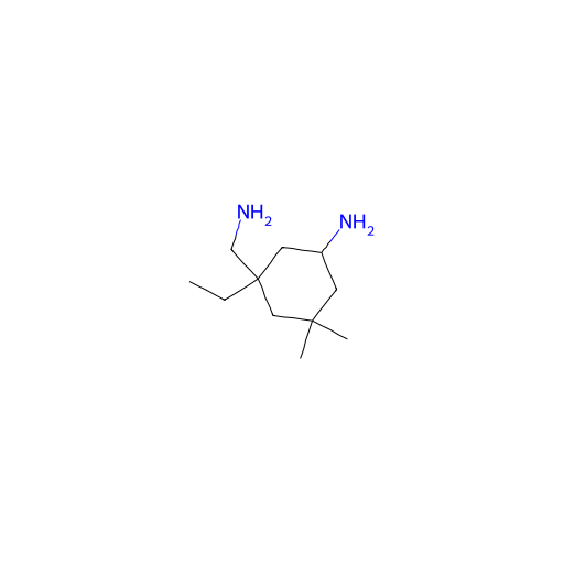 CCC1(CN)CC(N)CC(C)(C)C1